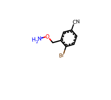 N#Cc1ccc(Br)c(CON)c1